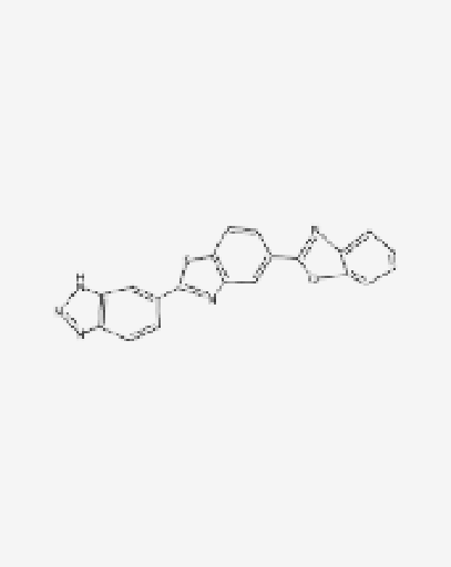 c1ccc2oc(-c3ccc4sc(-c5ccc6nn[nH]c6c5)nc4c3)nc2c1